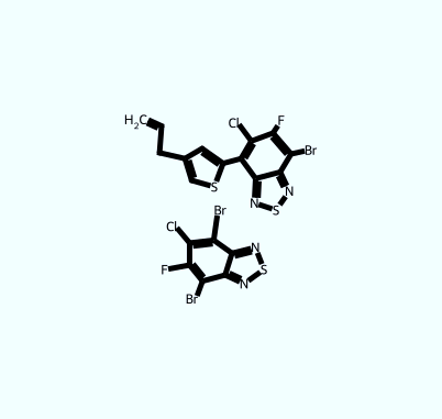 C=CCc1csc(-c2c(Cl)c(F)c(Br)c3nsnc23)c1.Fc1c(Cl)c(Br)c2nsnc2c1Br